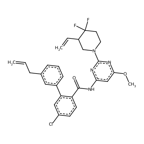 C=CCc1cccc(-c2cc(Cl)ccc2C(=O)Nc2cc(OC)nc(N3CCC(F)(F)C(C=C)C3)n2)c1